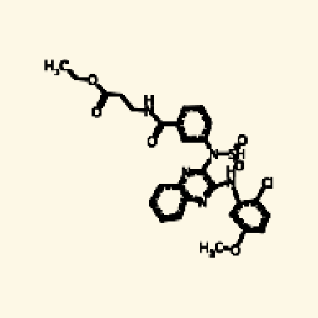 CCOC(=O)CCNC(=O)c1cccc(N(c2nc3ccccc3nc2Nc2cc(OC)ccc2Cl)[SH](=O)=O)c1